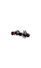 CCC/C(=N\OCc1ccc(NC(=O)NC(=O)c2ccccc2Cl)cc1Cl)c1ccccc1